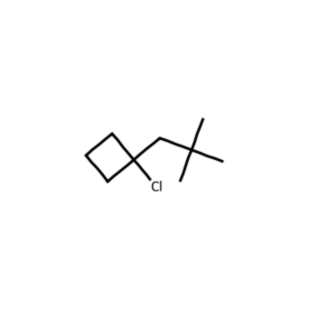 CC(C)(C)CC1(Cl)CCC1